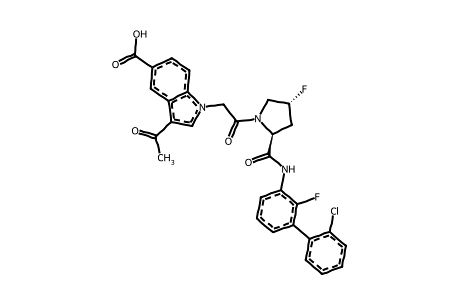 CC(=O)c1cn(CC(=O)N2C[C@H](F)C[C@H]2C(=O)Nc2cccc(-c3ccccc3Cl)c2F)c2ccc(C(=O)O)cc12